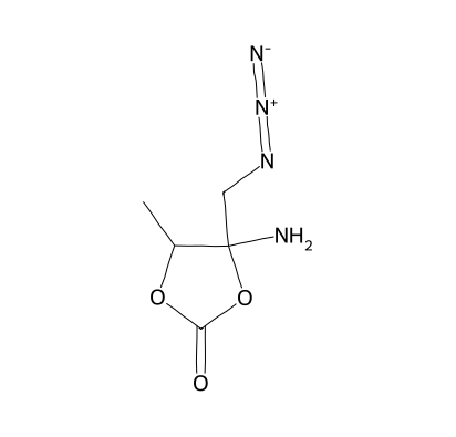 CC1OC(=O)OC1(N)CN=[N+]=[N-]